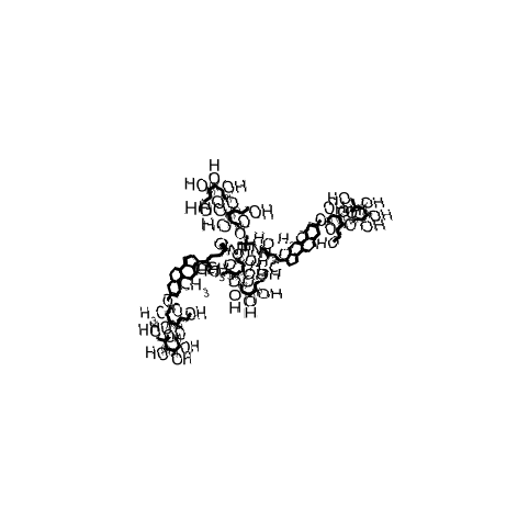 CC(CCC(=O)NCC(CNC(=O)CCC(C)C1CCC2C3CCC4CC(O[C@H]5OC(CO)[C@H](O[C@@H]6OC(CO)[C@H](O)[C@@H](O)C6O)[C@@H](O)C5O)CCC4(C)C3CCC12C)(CO[C@@H]1OC(CO)[C@@H](O[C@H]2OC(CO)[C@@H](O)[C@H](O)C2O)[C@H](O)C1O)CO[C@H]1OC(CO)[C@H](O[C@@H]2OC(CO)[C@H](O)[C@@H](O)C2O)[C@@H](O)C1O)C1CCC2C3CCC4CC(O[C@@H]5OC(CO)[C@@H](O[C@H]6OC(CO)[C@@H](O)[C@H](O)C6O)[C@H](O)C5C)CCC4(C)C3CCC12C